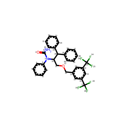 NC(=O)N(c1ccccc1)C(COCc1cc(C(F)(F)F)cc(C(F)(F)F)c1)C(c1ccccc1)c1ccccc1